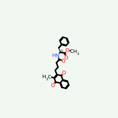 COC(=O)[C@H](Cc1ccccc1)NC(=O)CCCC1=C(C)C(=O)c2ccccc2C1=O